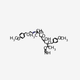 COc1ccc(COC/C=C/C(C)(C)C(=O)CC(=O)C[C@H](O)C[C@@H](OCc2ccc(OC)cc2)[C@@H](C)OB=N)cc1